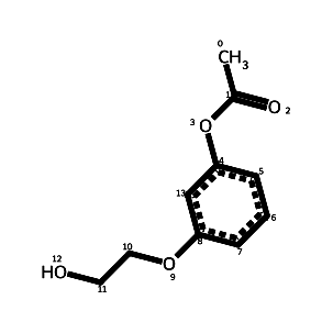 CC(=O)Oc1c[c]cc(OCCO)c1